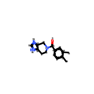 Cc1ccc(C(=O)N2CCc3[nH]cnc3C2)cc1C